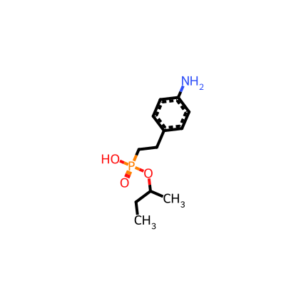 CCC(C)OP(=O)(O)CCc1ccc(N)cc1